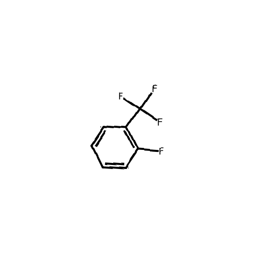 Fc1[c]cc[c]c1C(F)(F)F